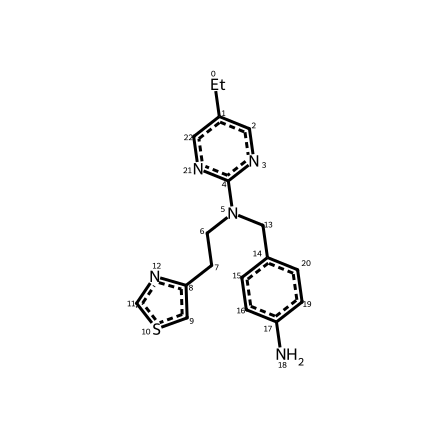 CCc1cnc(N(CCc2cs[c]n2)Cc2ccc(N)cc2)nc1